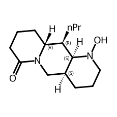 CCC[C@H]1[C@@H]2[C@@H](CCCN2O)CN2C(=O)CCC[C@H]12